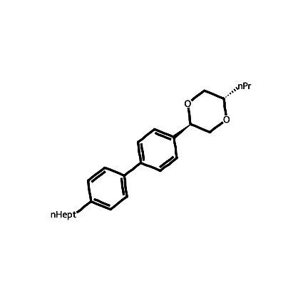 CCCCCCCc1ccc(-c2ccc([C@@H]3CO[C@@H](CCC)CO3)cc2)cc1